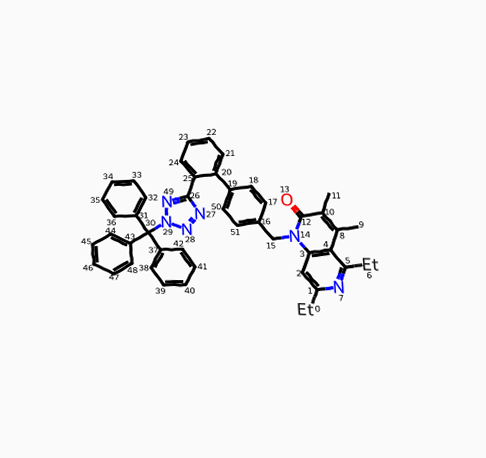 CCc1cc2c(c(CC)n1)c(C)c(C)c(=O)n2Cc1ccc(-c2ccccc2-c2nnn(C(c3ccccc3)(c3ccccc3)c3ccccc3)n2)cc1